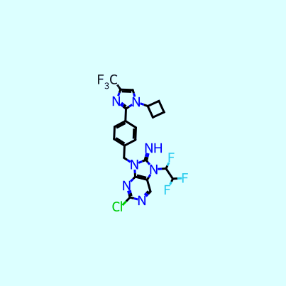 N=c1n(Cc2ccc(-c3nc(C(F)(F)F)cn3C3CCC3)cc2)c2nc(Cl)ncc2n1C(F)C(F)F